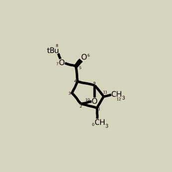 CC1C2CC(C(=O)OC(C)(C)C)C(O2)C1C